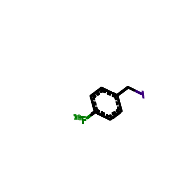 [18F]c1ccc(CI)cc1